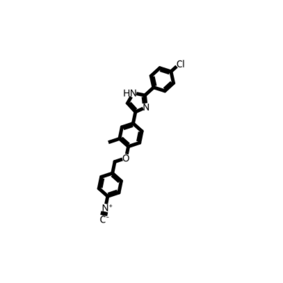 [C-]#[N+]c1ccc(COc2ccc(-c3c[nH]c(-c4ccc(Cl)cc4)n3)cc2C)cc1